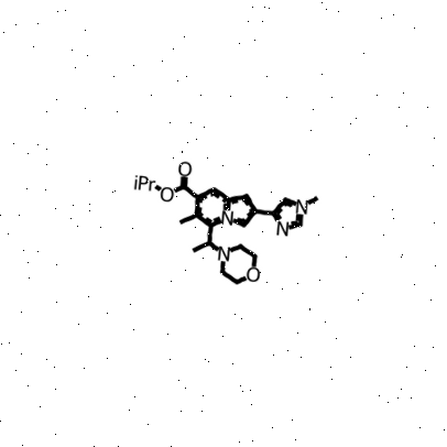 Cc1c(C(=O)OC(C)C)cc2cc(-c3cn(C)cn3)cn2c1C(C)N1CCOCC1